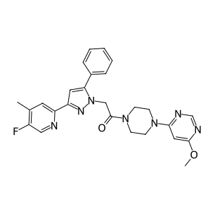 COc1cc(N2CCN(C(=O)Cn3nc(-c4cc(C)c(F)cn4)cc3-c3ccccc3)CC2)ncn1